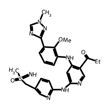 CCC(=O)c1cnc(Nc2ccc(CS(C)(=N)=O)cn2)cc1Nc1cccc(-c2ncn(C)n2)c1OC